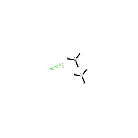 Cl.Cl.Cl.[CH3][Al]([CH3])[CH3].[CH3][Al]([CH3])[CH3]